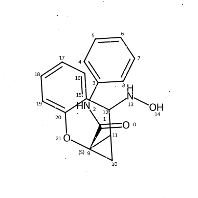 O=C(Nc1ccccc1)[C@]12CC1C(NO)c1ccccc1O2